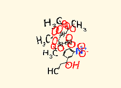 C#CCC(O)c1ccc(O[C@@H]2OC(C(=O)OC)[C@@H](OC(C)=O)C(OC(C)=O)[C@@H]2OC(C)=O)c([N+](=O)[O-])c1